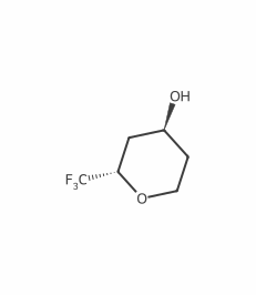 O[C@H]1CCO[C@H](C(F)(F)F)C1